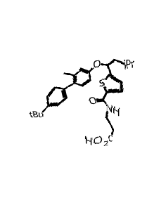 Cc1cc(OC(CC(C)C)c2ccc(C(=O)NCCC(=O)O)s2)ccc1-c1ccc(C(C)(C)C)cc1